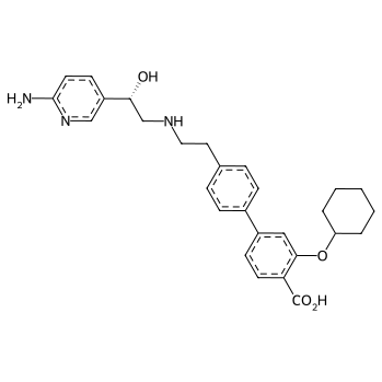 Nc1ccc([C@H](O)CNCCc2ccc(-c3ccc(C(=O)O)c(OC4CCCCC4)c3)cc2)cn1